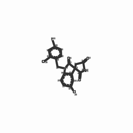 O=C1CC2(C(=O)N1)C(=O)N(Cc1ccc(F)cc1Cl)c1ccc(Cl)cc12